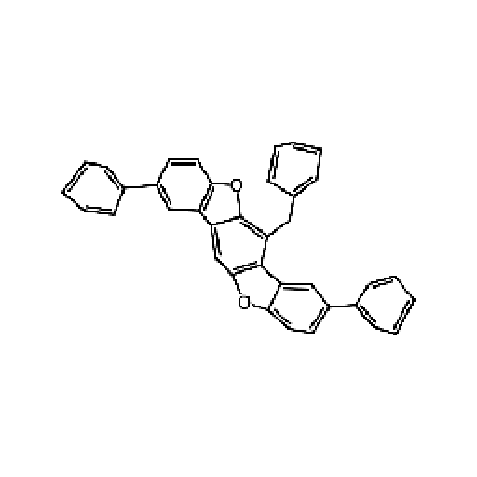 c1ccc(Cc2c3oc4ccc(-c5ccccc5)cc4c3cc3oc4ccc(-c5ccccc5)cc4c23)cc1